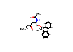 COC(=O)N[C@H](CO[Si](c1ccccc1)(c1ccccc1)C(C)(C)C)CC(=O)CC(=O)O